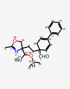 CC1=NC(CCC2(C=O)C=CC(c3ccccc3)=CC2)(C(O[SiH](C)C)C(C)(C)C)CO1